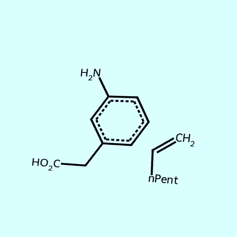 C=CCCCCC.Nc1cccc(CC(=O)O)c1